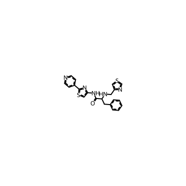 O=C(Nc1csc(-c2ccncc2)n1)C(Cc1ccccc1)NCc1cscn1